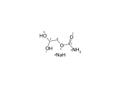 NC(=O)OCC(O)O.[NaH]